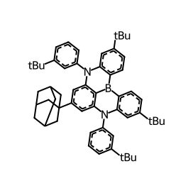 CC(C)(C)c1cccc(N2c3cc(C(C)(C)C)ccc3B3c4ccc(C(C)(C)C)cc4N(c4cccc(C(C)(C)C)c4)c4cc(C56CC7CC(CC(C7)C5)C6)cc2c43)c1